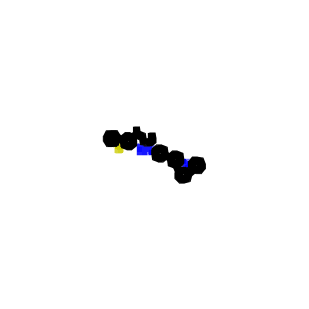 C=C/C(=C\C=C(C)c1ccc2sc3ccccc3c2c1)Nc1ccc(-c2ccc3c(c2)c2cccc4c5ccccc5n3c42)cc1